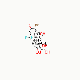 C[C@]12C=C(Br)C(=O)C=C1C(F)C[C@H]1[C@@H]3CC(O)[C@](O)(C(=O)CO)[C@@]3(C)CC(O)[C@@]12F